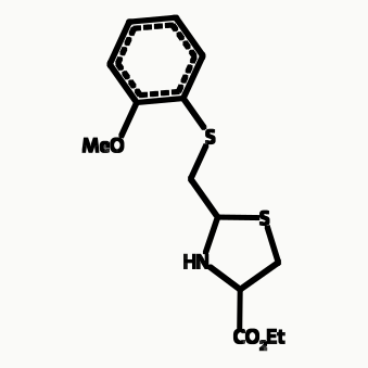 CCOC(=O)C1CSC(CSc2ccccc2OC)N1